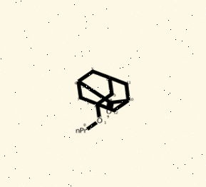 CCCOC12CC3CC(C1)C(=O)C(C3)C2